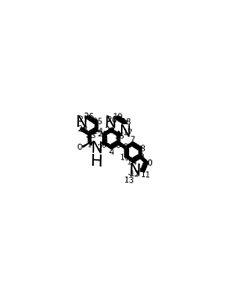 C[C@H](Nc1cc(-c2ccc3ccn(C)c3c2)c2nccnc2c1)c1cccnc1